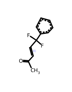 CC(=O)/C=C/C(F)(F)c1ccccc1